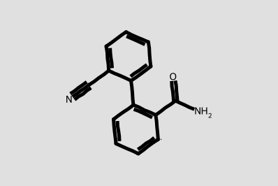 N#Cc1ccccc1-c1ccc[c]c1C(N)=O